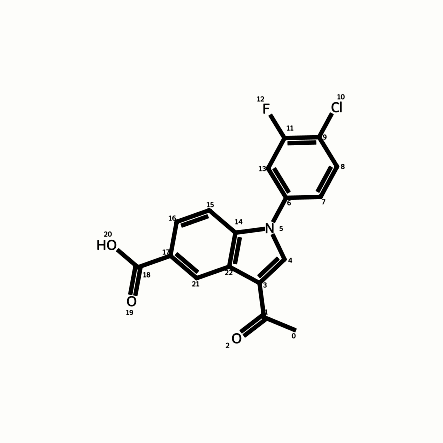 CC(=O)c1cn(-c2ccc(Cl)c(F)c2)c2ccc(C(=O)O)cc12